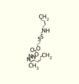 C=C/C=C\CNCSSCCOC(=O)On1nnc(C)c1/C=C\C=C